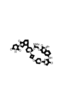 CNC(=O)COc1cc2cc(Nc3nc(N4CCC(O[C@H]5C[C@H](N6CCC(c7cccc8c7CN(C7CCC(=O)NC7=O)C8=O)CC6)C5)CC4)ncc3Cl)ccc2n(C(C)C)c1=O